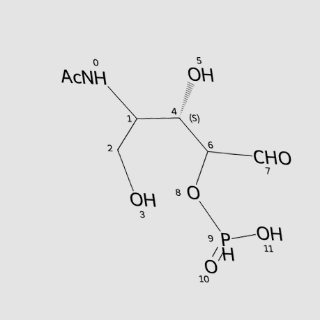 CC(=O)NC(CO)[C@H](O)C(C=O)O[PH](=O)O